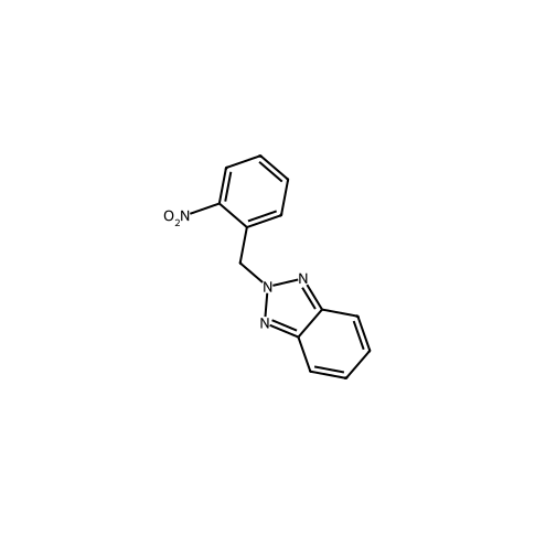 O=[N+]([O-])c1ccccc1Cn1nc2ccccc2n1